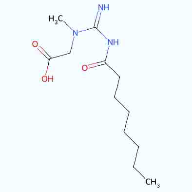 CCCCCCCC(=O)NC(=N)N(C)CC(=O)O